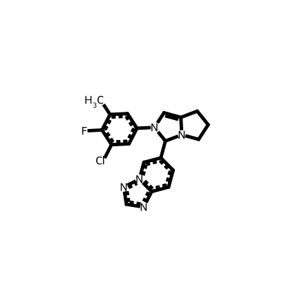 Cc1cc(N2C=C3CCCN3C2c2ccc3ncnn3c2)cc(Cl)c1F